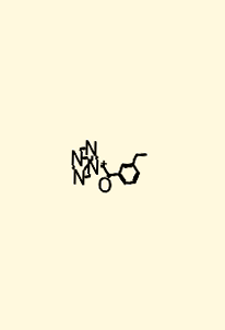 CCc1cccc(C(=O)C[N+]23CN4CN(CN(C4)C2)C3)c1